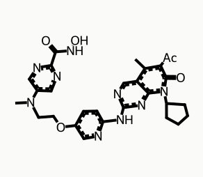 CC(=O)c1c(C)c2cnc(Nc3ccc(OCCN(C)c4cnc(C(=O)NO)nc4)cn3)nc2n(C2CCCC2)c1=O